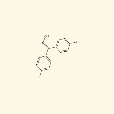 ON=C(c1ccc(F)cc1)c1ccc(F)cc1